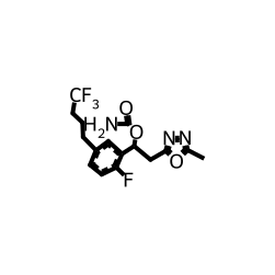 Cc1nnc(CC(OC(N)=O)c2cc(CCCC(F)(F)F)ccc2F)o1